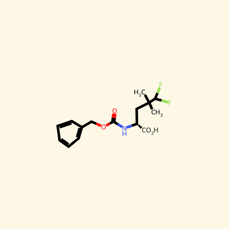 CC(C)(C[C@H](NC(=O)OCc1ccccc1)C(=O)O)C(F)F